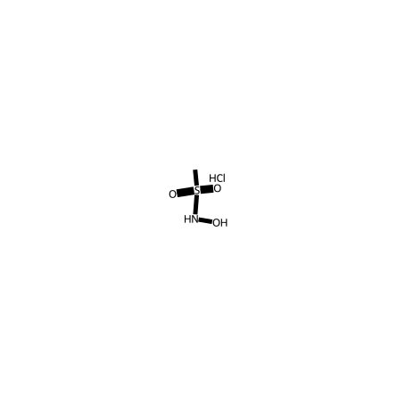 CS(=O)(=O)NO.Cl